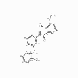 COc1ccnc(C(=O)Nc2cccc(Oc3ccccc3Cl)c2)c1O